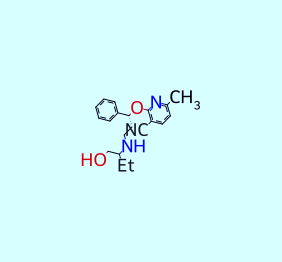 CCC(CO)NCC[C@@H](Oc1nc(C)ccc1C#N)c1ccccc1